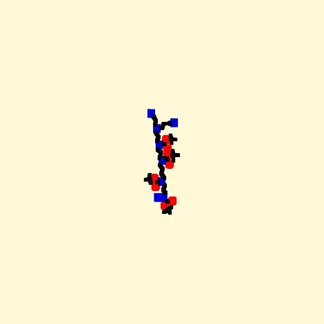 CC(C)(C)OC(=O)NCCCN(CCCCN(CCCN(CCCN(CCC#N)CCC#N)C(=O)OC(C)(C)C)C(=O)OC(C)(C)C)C(=O)OC(C)(C)C